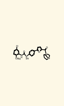 COc1ccc(Cl)cc1NC(=O)N(S)c1ccc(-c2ccc(C(=O)N3CCN4CCC3CC4)o2)cc1